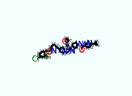 O=C(Nc1ccc2c(c1)nc(CN1CCC(c3cccc(OCc4ccc(Cl)cc4F)n3)CC1)n2C[C@@H]1CCO1)c1ccc(C2CC2)nc1